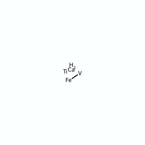 [CaH2].[Ti].[V][Fe]